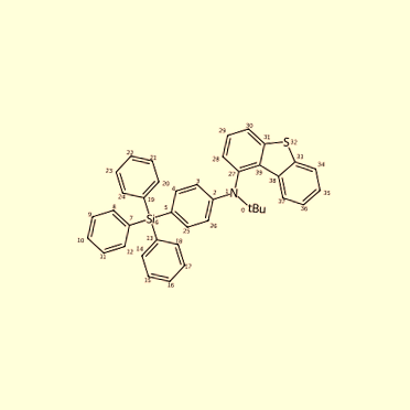 CC(C)(C)N(c1ccc([Si](c2ccccc2)(c2ccccc2)c2ccccc2)cc1)c1cccc2sc3ccccc3c12